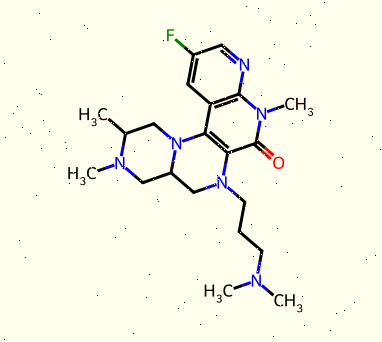 CC1CN2c3c(c(=O)n(C)c4ncc(F)cc34)N(CCCN(C)C)CC2CN1C